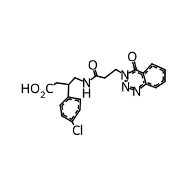 O=C(O)CC(CNC(=O)CCn1nnc2ccccc2c1=O)c1ccc(Cl)cc1